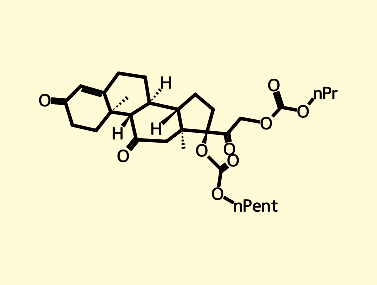 CCCCCOC(=O)O[C@]1(C(=O)COC(=O)OCCC)CC[C@H]2[C@@H]3CCC4=CC(=O)CC[C@]4(C)[C@H]3C(=O)C[C@@]21C